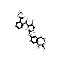 CNC(=O)c1ccccc1N(C)c1nc(Nc2ccc3c(c2)CCOC(=O)N3C)ncc1F